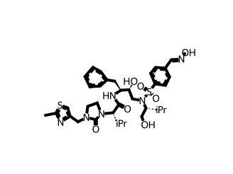 Cc1nc(CN2CCN([C@H](C(=O)N[C@@H](Cc3ccccc3)[C@H](O)CN([C@@H](CO)C(C)C)S(=O)(=O)c3ccc(/C=N/O)cc3)C(C)C)C2=O)cs1